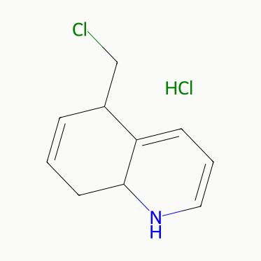 Cl.ClCC1C=CCC2NC=CC=C12